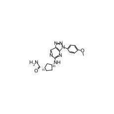 COc1ccc(-n2nnc3cnc(N[C@@H]4CC[C@H](C(N)=O)C4)nc32)cc1